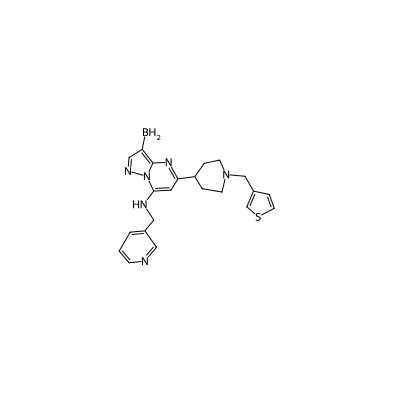 Bc1cnn2c(NCc3cccnc3)cc(C3CCN(Cc4ccsc4)CC3)nc12